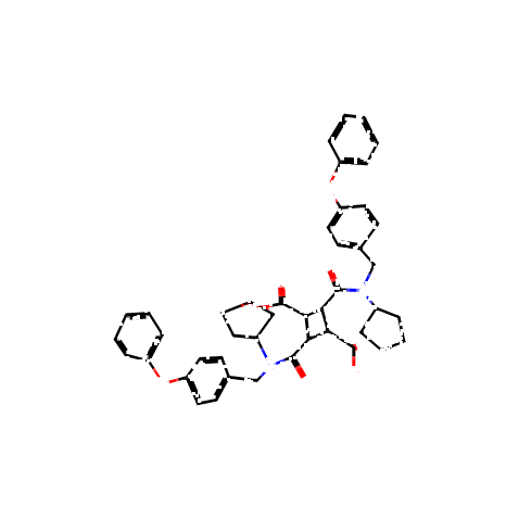 O=C(O)C1C(C(=O)N(Cc2ccc(Oc3ccccc3)cc2)C2CCCC2)C(C(=O)O)C1C(=O)N(Cc1ccc(Oc2ccccc2)cc1)C1CCCC1